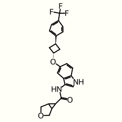 O=C(Nc1c[nH]c2ccc(O[C@H]3C[C@H](c4ccc(C(F)(F)F)cc4)C3)cc12)C1C2COCC21